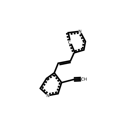 C#Cc1cnccc1C=Cc1ccncc1